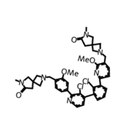 COc1cc(-c2nccc(-c3cccc(-c4ccc(CN5CC6(CC(=O)N(C)C6)C5)c(OC)n4)c3Cl)c2Cl)ccc1CN1CC2(CC(=O)N(C)C2)C1